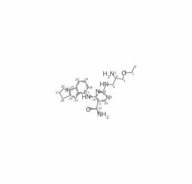 CCOCC(N)CNc1ncc(C(N)=O)c(Nc2cccc3c2cc2n3CCC2)n1